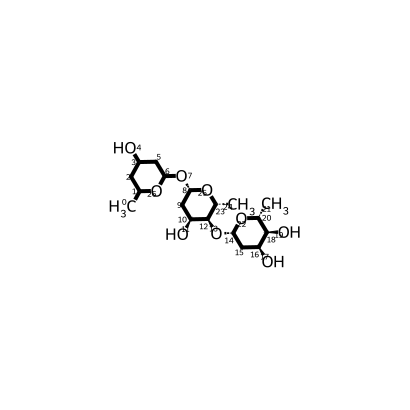 CC1CC(O)CC(O[C@H]2C[C@H](O)[C@H](O[C@H]3C[C@H](O)[C@H](O)[C@@H](C)O3)[C@@H](C)O2)O1